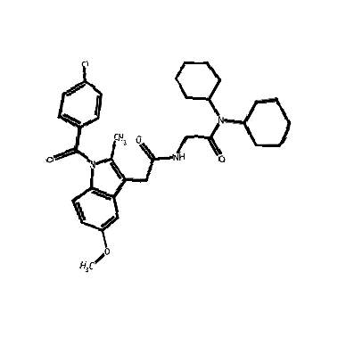 COc1ccc2c(c1)c(CC(=O)NCC(=O)N(C1CCCCC1)C1CCCCC1)c(C)n2C(=O)c1ccc(Cl)cc1